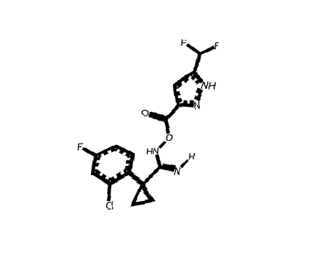 [H]/N=C(\NOC(=O)c1cc(C(F)F)[nH]n1)C1(c2ccc(F)cc2Cl)CC1